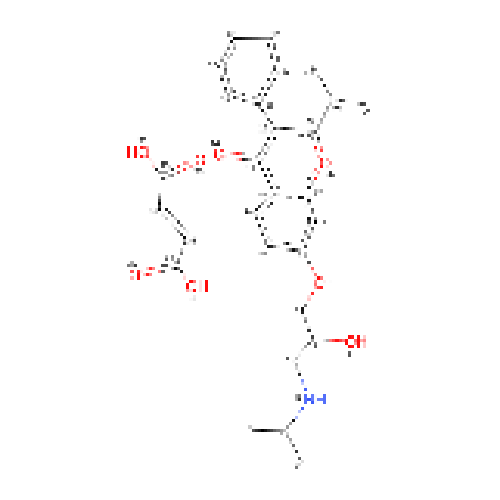 CC(C)NCC(O)COc1ccc2c(=O)c(-c3ccccc3)c(C(C)C)oc2c1.O=C(O)C=CC(=O)O